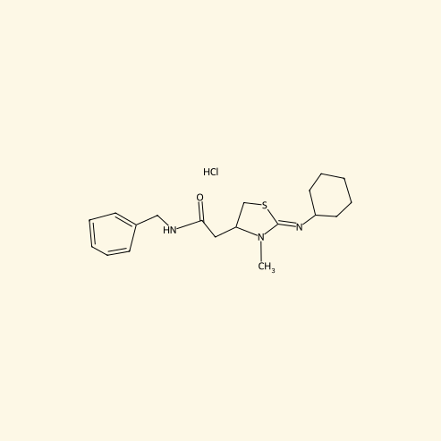 CN1C(=NC2CCCCC2)SCC1CC(=O)NCc1ccccc1.Cl